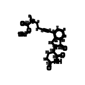 CN(CCC#Cc1cccc2c1CN(C1CCC(=O)NC1=O)C2=O)C(=O)OC(C)(C)C